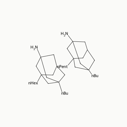 CCCCCC12CC3CC(N)(CC(CCCC)(C3)C1)C2.CCCCCCC12CC3CC(N)(CC(CCCC)(C3)C1)C2